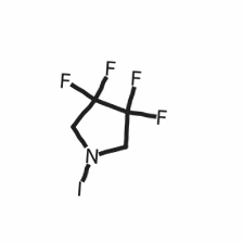 FC1(F)CN(I)CC1(F)F